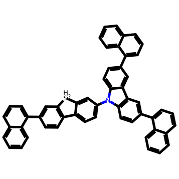 c1ccc2c(-c3ccc4c(c3)[SiH2]c3cc(-n5c6ccc(-c7cccc8ccccc78)cc6c6cc(-c7cccc8ccccc78)ccc65)ccc3-4)cccc2c1